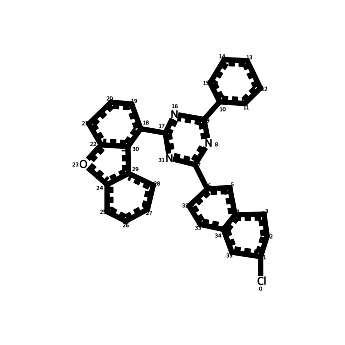 Clc1ccc2cc(-c3nc(-c4ccccc4)nc(-c4cccc5oc6ccccc6c45)n3)ccc2c1